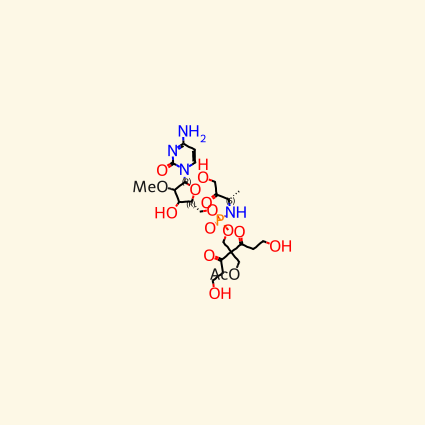 COC1C(O)[C@@H](COP(=O)(N[C@@H](C)C(=O)CO)OCC(COC(C)=O)(C(=O)CCO)C(=O)CCO)O[C@H]1n1ccc(N)nc1=O